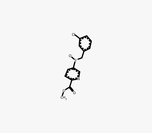 COC(=O)c1ccc([S+]([O-])Cc2cccc(Cl)c2)cn1